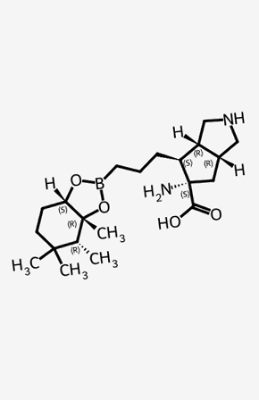 C[C@@H]1C(C)(C)CC[C@@H]2OB(CCC[C@H]3[C@@H]4CNC[C@@H]4C[C@@]3(N)C(=O)O)O[C@@]21C